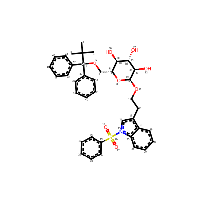 CC(C)(C)[Si](OC[C@H]1O[C@H](OCCc2cn(S(=O)(=O)c3ccccc3)c3ccccc23)[C@H](O)[C@@H](O)[C@@H]1O)(c1ccccc1)c1ccccc1